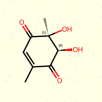 CC1=CC(=O)[C@@](C)(O)[C@@H](O)C1=O